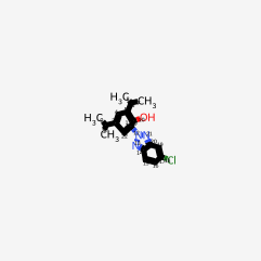 CC(C)c1cc(C(C)C)c(O)c(-n2nc3ccc(Cl)cc3n2)c1